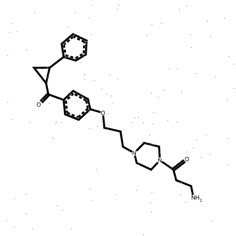 NCCC(=O)N1CCN(CCCOc2ccc(C(=O)C3CC3c3ccccc3)cc2)CC1